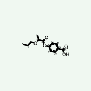 CCCOC(C)C(=O)Oc1ccc(C(=O)O)cc1